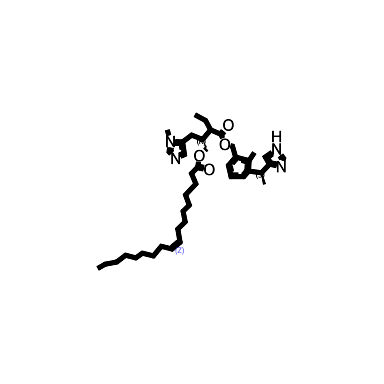 CCCCCCCC/C=C\CCCCCCCC(=O)OC[C@H](Cc1cncn1C)C(CC)C(=O)OCc1cccc([C@H](C)c2c[nH]cn2)c1C